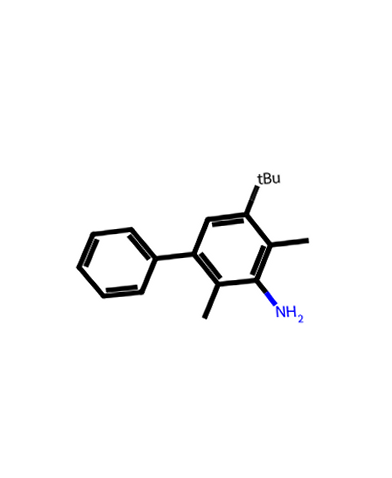 Cc1c(-c2ccccc2)cc(C(C)(C)C)c(C)c1N